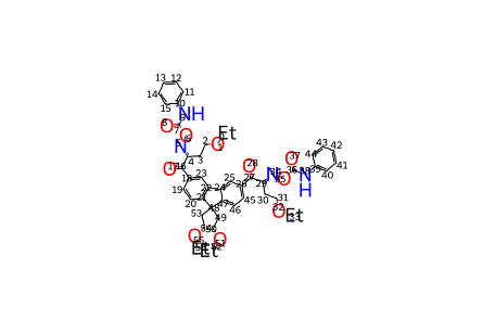 CCOCC/C(=N\OC(=O)Nc1ccccc1)C(=O)c1ccc2c(c1)-c1cc(C(=O)/C(CCOCC)=N/OC(=O)Nc3ccccc3)ccc1C2(CCOCC)CCOCC